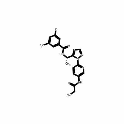 C[C@H](NC(=O)c1cc(Cl)cc(C(F)(F)F)c1)c1ncnn1-c1ccc(NC(=O)CC#N)cn1